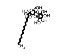 CCCCCCCCCCCCCCCC(=O)C1(N)O[C@H](CO)[C@@H](O[C@@H]2O[C@H](CO)[C@@H](O)[C@H](O)[C@@H]2O)[C@H](O)[C@@H]1O